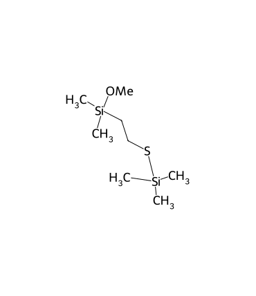 CO[Si](C)(C)CCS[Si](C)(C)C